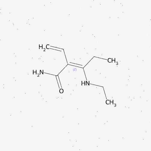 C=C/C(C(N)=O)=C(\CC)NCC